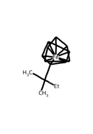 CCC(C)(C)[C]12[CH]3[CH]4[CH]5[CH]1[Fe]45321678[CH]2[CH]1[CH]6[CH]7[CH]28